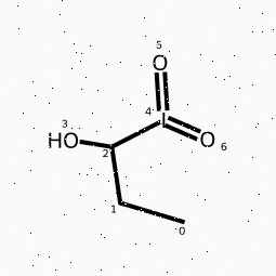 CCC(O)I(=O)=O